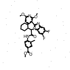 COC(=O)c1ccc(NC(=O)C(C2CCCCC2)n2c(-c3ccc(OC)nc3OC)nc3cc(F)c(F)cc32)c(C)c1